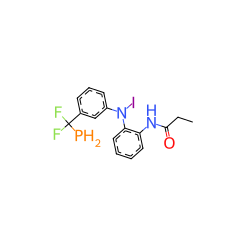 CCC(=O)Nc1ccccc1N(I)c1cccc(C(F)(F)P)c1